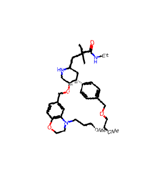 CCNC(=O)C(C)(C)CC1C[C@H](c2ccc(COCCOC)cc2)[C@@H](OCc2ccc3c(c2)N(CCCOC)CCO3)CN1